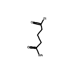 [CH2]CCC(=O)CCCC(=O)CC